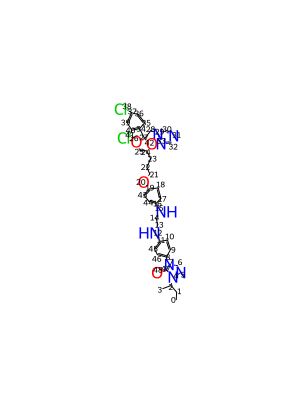 CCC(C)n1ncn(-c2ccc(NCCNc3ccc(OCCCC4COC(Cn5cncn5)(c5ccc(Cl)cc5Cl)O4)cc3)cc2)c1=O